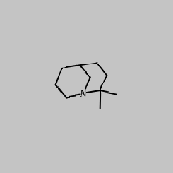 CC1(C)CCC2CCCN1C2